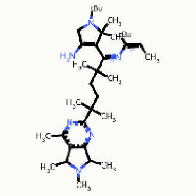 C/C=C(\N=C(/C1=C(N)CN(C(C)(C)C)C1(C)C)C(C)(C)CCC(C)(C)c1nc(C)c2c(n1)C(C)N(C)C2C)C(C)(C)C